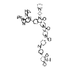 CC(C)n1cnc2cc(-c3ccc4c(c3)N([C@H]3C[C@@H](N5CCCCC5)C3)C(=O)C43CCN(C(=O)C4(C)CCN(C(=O)[C@H]5CC[C@H](N(C)c6ccc(C7CCC(=O)NC7=O)cc6)CC5)CC4)CC3)nc(NC3CC3)c21